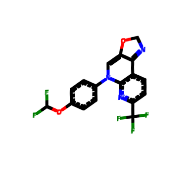 FC(F)Oc1ccc(N2C=C3OCN=C3c3ccc(C(F)(F)F)nc32)cc1